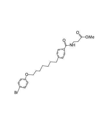 COC(=O)CCNC(=O)c1ccc(CCCCCCCOc2ccc(Br)cc2)cc1